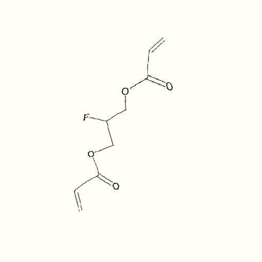 C=CC(=O)OCC(F)COC(=O)C=C